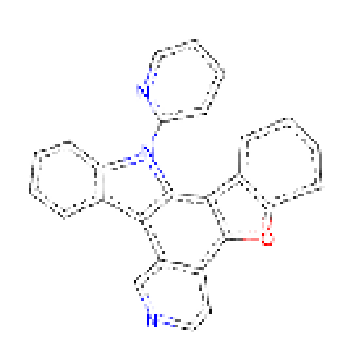 c1ccc(-n2c3ccccc3c3c4cnccc4c4oc5ccccc5c4c32)nc1